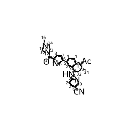 CC(=O)N1c2ccc(-c3ccc(C(=O)N4CCN(C)CC4)nc3)cc2[C@H](Nc2ccc(C#N)cn2)C[C@@H]1C